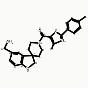 Cc1ccc(-c2nc(C)c(C(=O)N3CCC4(CC3)COc3ccc(CN)cc34)s2)cc1